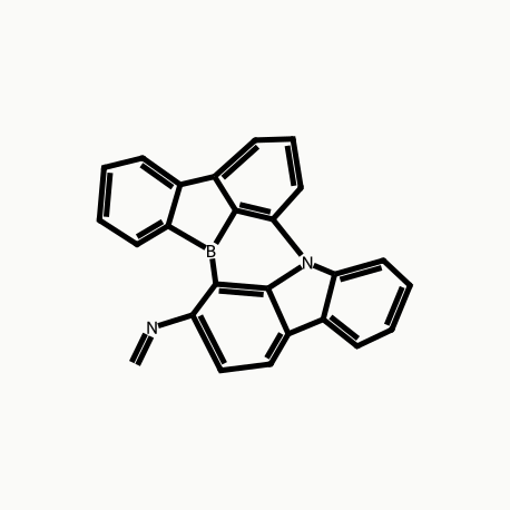 C=Nc1ccc2c3ccccc3n3c2c1B1c2ccccc2-c2cccc-3c21